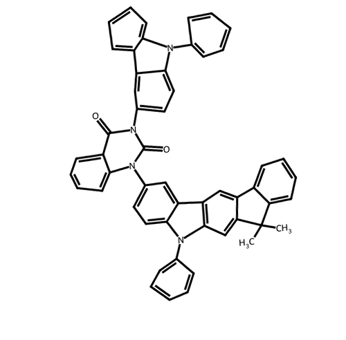 CC1(C)c2ccccc2-c2cc3c4cc(-n5c(=O)n(-c6ccc7c(c6)c6ccccc6n7-c6ccccc6)c(=O)c6ccccc65)ccc4n(-c4ccccc4)c3cc21